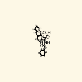 O=C(Cc1ccccc1)N[C@@H]1C(=O)N2C(C(=O)O)=C(Cc3cccs3)CS[C@H]12